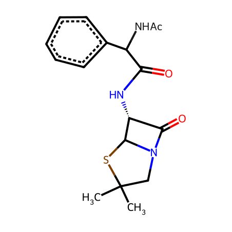 CC(=O)NC(C(=O)N[C@@H]1C(=O)N2CC(C)(C)SC12)c1ccccc1